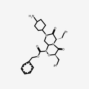 CC(C)C[C@H]1ON(C(=O)OCc2ccccc2)C2CN(C3CCC(N)CC3)C(=O)[C@H](CC(C)C)N2C1=O